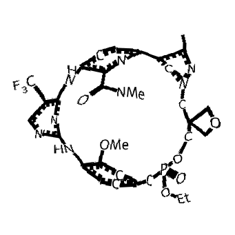 CCOP1(=O)Cc2ccc(c(OC)c2)Nc2ncc(C(F)(F)F)c(n2)Nc2ccc(nc2C(=O)NC)-c2cn(nc2C)CC2(COC2)CO1